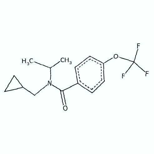 CC(C)N(CC1CC1)C(=O)c1ccc(OC(F)(F)F)cc1